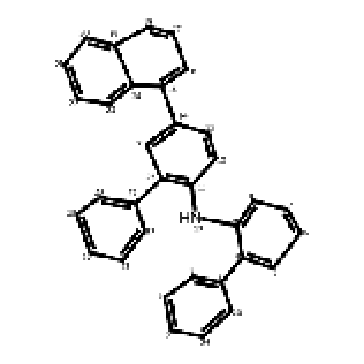 c1ccc(-c2ccccc2Nc2ccc(-c3cccc4ccccc34)cc2-c2ccccc2)cc1